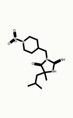 CC(C)CC1(C)NC(=N)N(CC2CCN([SH](=O)=O)CC2)C1=O